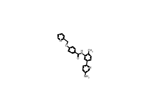 Cc1ccc(-c2ccc(N)cn2)cc1NC(=O)c1ccc(OCc2ccccn2)cc1